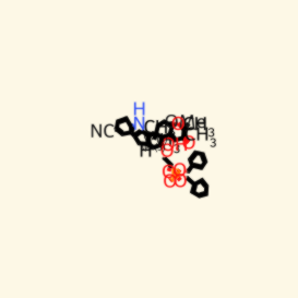 COC12CCC3(C)[C@@]4(C)c5[nH]c6ccc(C#N)cc6c5C[C@@H]4C[C@H](OCCOP(=O)(OCc4ccccc4)OCc4ccccc4)[C@@]3(O)C1=CC(=O)C(C)(C)O2